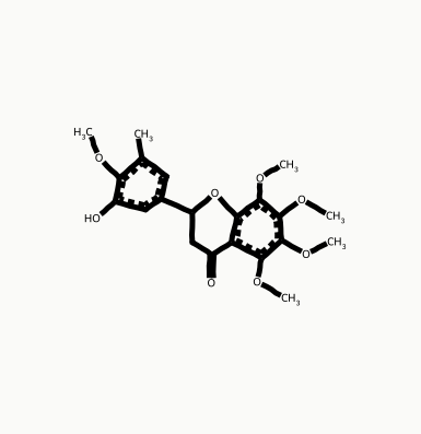 COc1c(C)cc(C2CC(=O)c3c(OC)c(OC)c(OC)c(OC)c3O2)cc1O